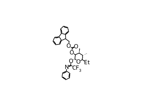 CCC1O[C@H](O/C(=N/c2ccccc2)C(F)(F)F)C(OC(=O)OCC2c3ccccc3-c3ccccc32)[C@@H](C)[C@@H]1C